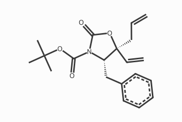 C=CC[C@@]1(C=C)OC(=O)N(C(=O)OC(C)(C)C)[C@H]1Cc1ccccc1